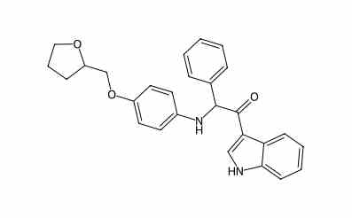 O=C(c1c[nH]c2ccccc12)C(Nc1ccc(OCC2CCCO2)cc1)c1ccccc1